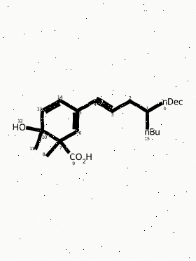 CCCCCCCCCCC(CC=CC1=CC(C)(C(=O)O)C(C)(O)C=C1)CCCC